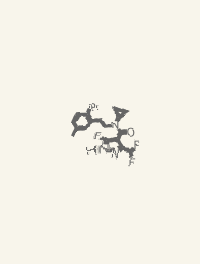 Cc1ccc(C(C)C)c(CCN(C(=O)c2c(C(F)F)n[nH]c2F)C2CC2)c1